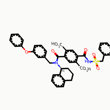 O=C(O)c1cc(C(=O)N(Cc2cccc(Oc3ccccc3)c2)[C@H]2CCCc3ccccc32)c(C(=O)O)cc1C(=O)NS(=O)(=O)Cc1ccccc1